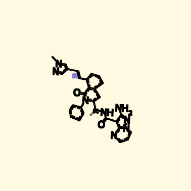 C[C@@H](NC(=O)c1c(N)nn2cccnc12)c1cc2cccc(/C=C/c3cnn(C)c3)c2c(=O)n1-c1ccccc1